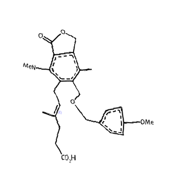 CNc1c(C/C=C(\C)CCC(=O)O)c(COCc2ccc(OC)cc2)c(C)c2c1C(=O)OC2